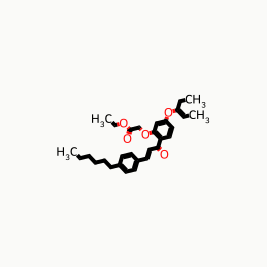 CC=C(CC)Oc1ccc(C(=O)C=Cc2ccc(CCCCCC)cc2)c(OCC(=O)OCC)c1